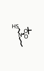 CCCCN(CCS)C(=O)OC(C)(C)C